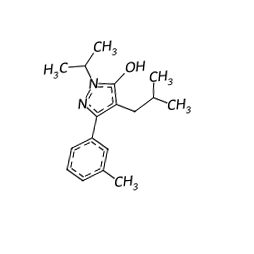 Cc1cccc(-c2nn(C(C)C)c(O)c2CC(C)C)c1